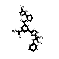 Cc1csc(C2CCCN2C(=O)c2cc(C(N)=O)cc(-c3nnc(C(C)(N)Cc4ccccc4)o3)c2)n1